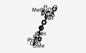 COC(=O)N[C@H](C(=O)N1CCC[C@H]1c1ncc(C23CCC(c4ccc(-c5cnc([C@@H]6CSC(C7CCOCC7)N6C(=O)[C@@H](NC(=O)OC)C(C)C)[nH]5)cc4)(CC2)CC3)[nH]1)C(C)C